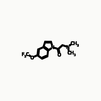 CN(C)CC(=O)n1ccc2cc(OC(F)(F)F)ccc21